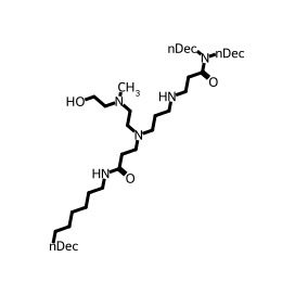 CCCCCCCCCCCCCCCCNC(=O)CCN(CCCNCCC(=O)N(CCCCCCCCCC)CCCCCCCCCC)CCN(C)CCO